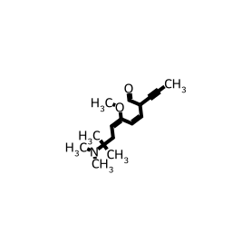 CC#CC(C=O)/C=C\C(=C/CC(C)(C)N(C)C)OC